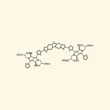 CCCCCCCCC(CCCCCC)CN1C(=O)C2=C(c3ccc(-c4cc5cc6oc7cc8cc(-c9ccc(C%10=C%11C(=O)N(CC(CCCCCC)CCCCCCCC)C(c%12cccs%12)=C%11C(=O)N%10CC(CCCCCCC)CCCCCCCC)s9)sc8cc7c6cc5s4)s3)N(CC(CCCCCC)CCCCCCCC)C(=O)C2=C1c1cccs1